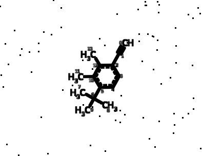 C#Cc1ccc(C(C)(C)C)c(C)c1C